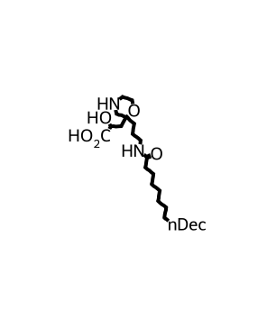 CCCCCCCCCCCCCCCCCC(=O)NCCCC1(CC(O)C(=O)O)CNCCO1